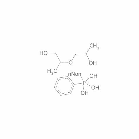 CC(O)COC(C)CO.CCCCCCCCCP(O)(O)(O)c1ccccc1